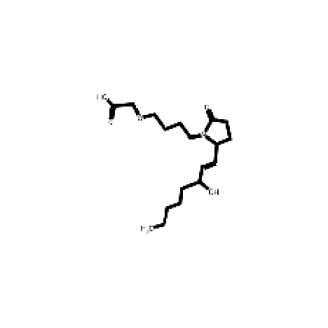 CCCCCC(O)C=CC1CCC(=O)N1CCCCOCC(=O)O